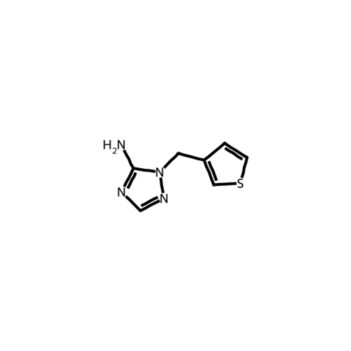 Nc1ncnn1Cc1ccsc1